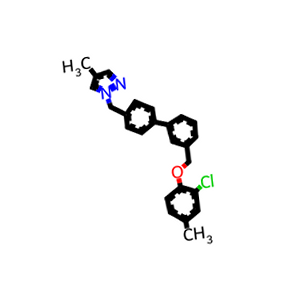 Cc1ccc(OCc2cccc(-c3ccc(Cn4cc(C)cn4)cc3)c2)c(Cl)c1